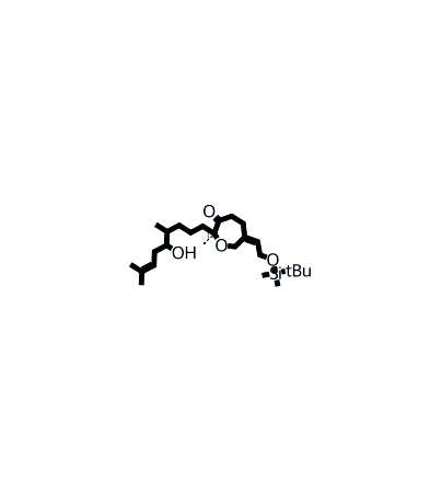 CC(C)=CCC(O)C(C)CCC[C@]1(C)OCC(=CCO[Si](C)(C)C(C)(C)C)CCC1=O